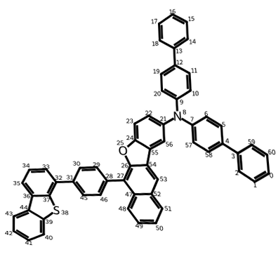 c1ccc(-c2ccc(N(c3ccc(-c4ccccc4)cc3)c3ccc4oc5c(-c6ccc(-c7cccc8c7sc7ccccc78)cc6)c6ccccc6cc5c4c3)cc2)cc1